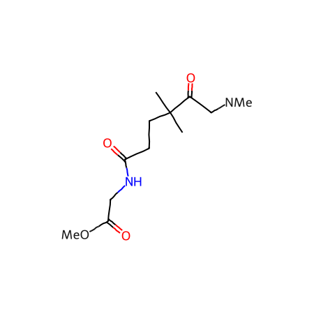 CNCC(=O)C(C)(C)CCC(=O)NCC(=O)OC